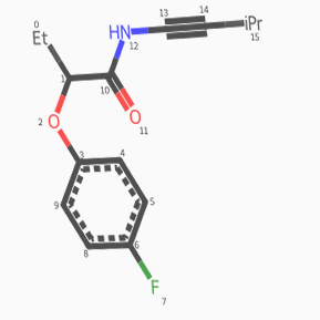 CCC(Oc1ccc(F)cc1)C(=O)NC#CC(C)C